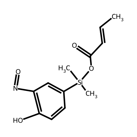 CC=CC(=O)O[Si](C)(C)c1ccc(O)c(N=O)c1